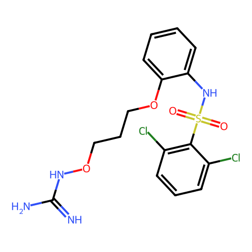 N=C(N)NOCCCOc1ccccc1NS(=O)(=O)c1c(Cl)cccc1Cl